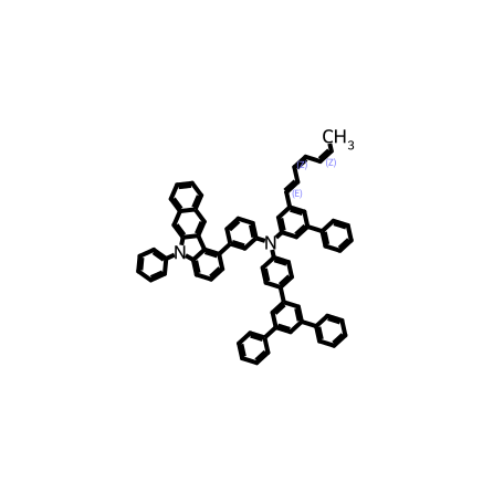 C\C=C/C=C\C=C\c1cc(-c2ccccc2)cc(N(c2ccc(-c3cc(-c4ccccc4)cc(-c4ccccc4)c3)cc2)c2cccc(-c3cccc4c3c3cc5ccccc5cc3n4-c3ccccc3)c2)c1